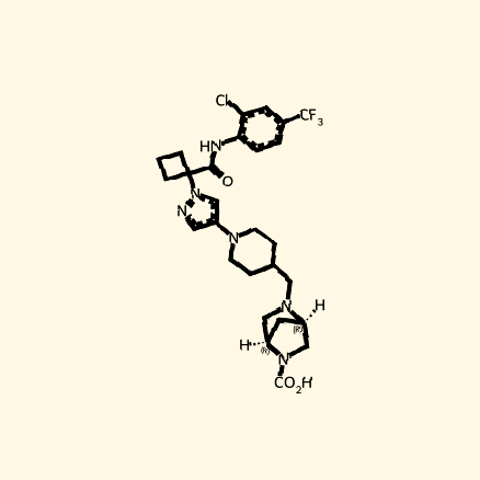 O=C(O)N1C[C@H]2C[C@@H]1CN2CC1CCN(c2cnn(C3(C(=O)Nc4ccc(C(F)(F)F)cc4Cl)CCC3)c2)CC1